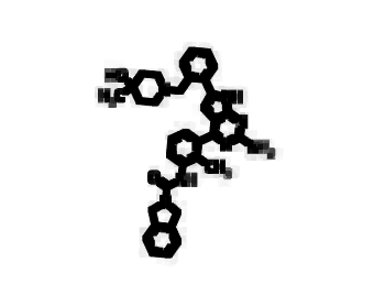 Cc1c(NC(=O)N2Cc3ccccc3C2)cccc1-c1nc(N)nc2[nH]c(-c3ccccc3CN3CCC(C)(O)CC3)cc12